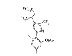 CCOC(=O)C[C@H](N)c1cn(-c2c(C)cc(C)cc2OC)nc1C(F)(F)F